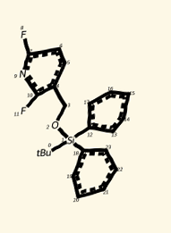 CC(C)(C)[Si](OCc1ccc(F)nc1F)(c1ccccc1)c1ccccc1